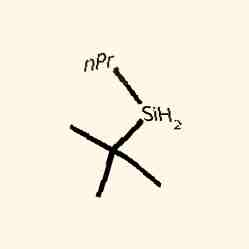 CCC[SiH2]C(C)(C)C